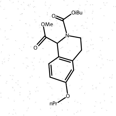 CCCOc1ccc2c(c1)CCN(C(=O)OCC(C)C)C2C(=O)OC